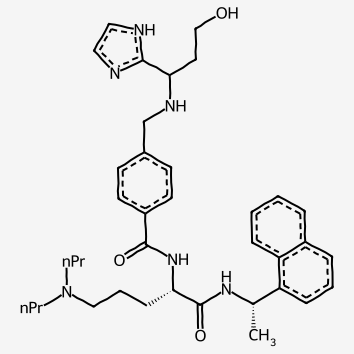 CCCN(CCC)CCC[C@H](NC(=O)c1ccc(CNC(CCO)c2ncc[nH]2)cc1)C(=O)N[C@@H](C)c1cccc2ccccc12